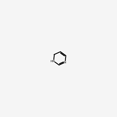 [CH]1C=CN=CN1